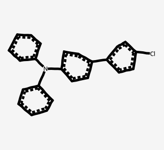 Clc1ccc(-c2ccc(N(c3ccccc3)c3ccccc3)cc2)cc1